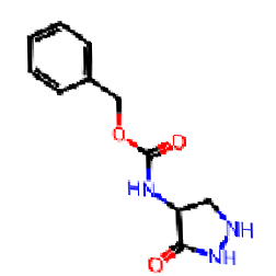 O=C(NC1CNNC1=O)OCc1ccccc1